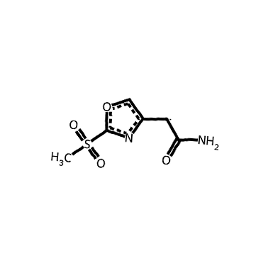 CS(=O)(=O)c1nc([CH]C(N)=O)co1